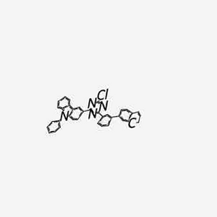 Clc1nc(-c2cccc(-c3ccc4c(c3)CCC=C4)c2)nc(-c2ccc3c(c2)c2ccccc2n3-c2ccccc2)n1